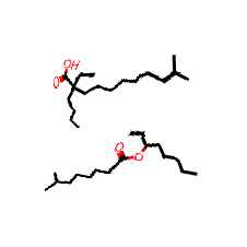 CCCCC(CC)(CCCCCCCC(C)C)C(=O)O.CCCCCC(CC)OC(=O)CCCCCC(C)C